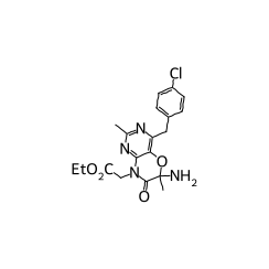 CCOC(=O)CN1C(=O)C(C)(N)Oc2c(Cc3ccc(Cl)cc3)nc(C)nc21